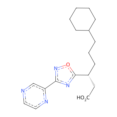 O=C(O)C[C@@H](CCCC1CCCCC1)c1nc(-c2cnccn2)no1